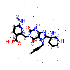 CC#CCn1c([C@@]2(N)CCCNC2)nc2c1c(=O)n(Cc1nc(NC)ccc1C(=O)O)c(=O)n2C